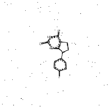 O=c1[nH]c2c(c(=O)[nH]1)CCC2c1ccc(F)cc1